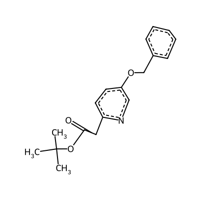 CC(C)(C)OC(=O)Cc1ccc(OCc2ccccc2)cn1